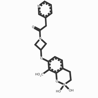 O=C(O)c1c(OC2CN(C(=O)Cc3cccnc3)C2)ccc2c1O[B-](O)(O)CC2